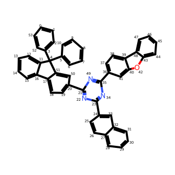 c1ccc(C2(c3ccccc3)c3ccccc3-c3ccc(-c4nc(-c5ccc6ccccc6c5)nc(-c5ccc6c(c5)oc5ccccc56)n4)cc32)cc1